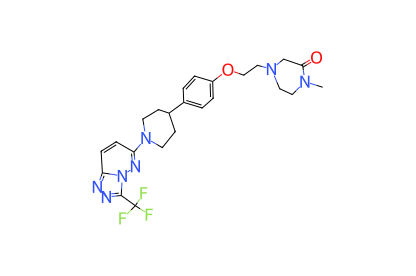 CN1CCN(CCOc2ccc(C3CCN(c4ccc5nnc(C(F)(F)F)n5n4)CC3)cc2)CC1=O